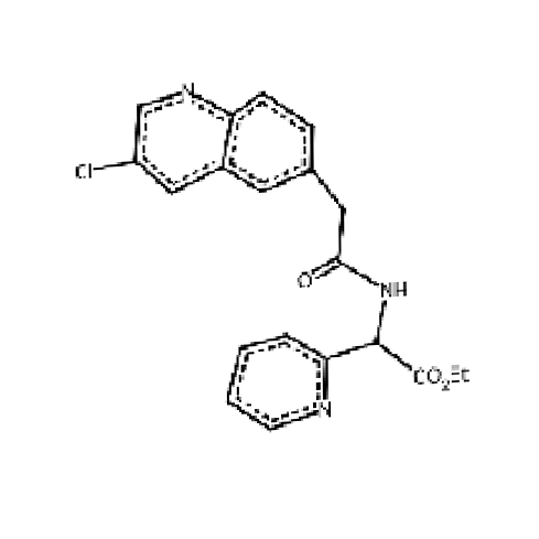 CCOC(=O)C(NC(=O)Cc1ccc2ncc(Cl)cc2c1)c1ccccn1